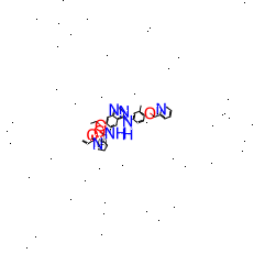 C=CC(=O)N1CCC[C@H]1C(=O)Nc1cc2c(Nc3ccc(OCc4ccccn4)c(C)c3)ncnc2cc1OCC